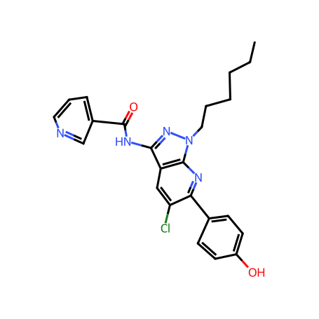 CCCCCCn1nc(NC(=O)c2cccnc2)c2cc(Cl)c(-c3ccc(O)cc3)nc21